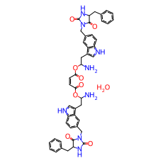 NC(Cc1c[nH]c2ccc(CN3C(=O)NC(Cc4ccccc4)C3=O)cc12)OC(=O)/C=C\C(=O)OC(N)Cc1c[nH]c2ccc(CN3C(=O)NC(Cc4ccccc4)C3=O)cc12.O